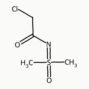 CS(C)(=O)=NC(=O)CCl